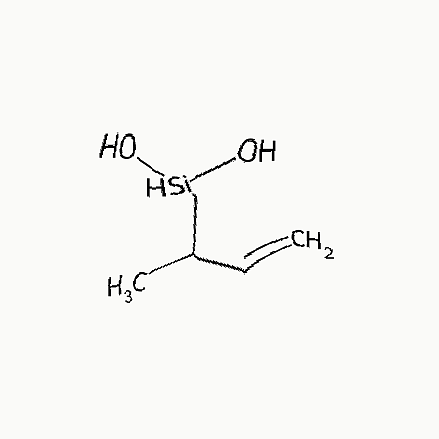 C=CC(C)[SiH](O)O